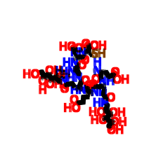 CN[C@H](CCC(=O)O)C(=O)N[C@H](CCC(=O)NC[C@H](O)[C@@H](O)[C@H](O)[C@H](O)CO)C(=O)N[C@H](CCCC(=O)O)C(=O)N[C@H](CCC(=O)NC[C@H](O)[C@@H](O)[C@H](O)[C@H](O)CO)C(=O)NC[C@H](N)C(=O)N[C@@H](CC(=O)O)C(=O)N[C@@H](CS)C(=O)O